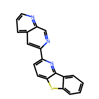 c1cnc2cnc(-c3ccc4sc5ccccc5c4n3)cc2c1